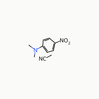 CC#N.CN(C)c1ccc([N+](=O)[O-])cc1